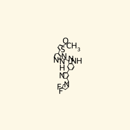 CC(=O)c1ccc(-c2ccnc3[nH]c(-c4n[nH]c5ccc(-c6cncc(CN7CCC(F)(F)C7)c6)cc45)nc23)s1